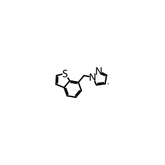 [c]1cnn(Cc2cccc3ccsc23)c1